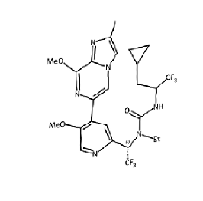 CCN(C(=O)NC(CC1CC1)C(F)(F)F)[C@@H](c1cc(-c2cn3cc(C)nc3c(OC)n2)c(OC)cn1)C(F)(F)F